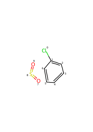 Clc1ccccc1.O=S=O